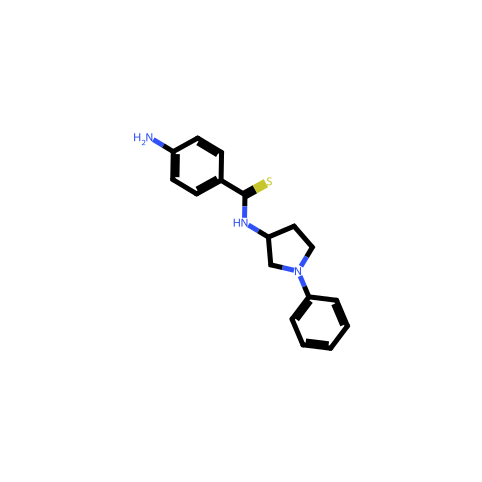 Nc1ccc(C(=S)NC2CCN(c3ccccc3)C2)cc1